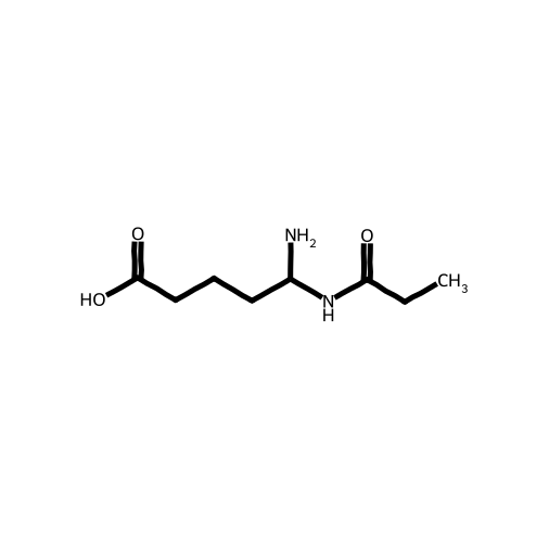 CCC(=O)NC(N)CCCC(=O)O